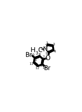 Cn1[c]ccc1Oc1cc(Br)ccc1Br